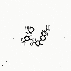 CC[C@]1(Oc2ccc(C(F)(F)F)cc2NC(=O)c2ccc(C)c(-c3ccc4nc(NC)ncc4c3)c2)CCCNC1